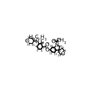 CCN(c1cccc(C(=O)Oc2ccc3c(c2)N(C(C)=O)CC32CCOCC2)c1C)C1CCOCC1